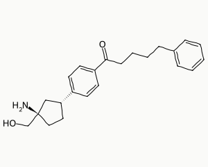 N[C@]1(CO)CC[C@@H](c2ccc(C(=O)CCCCc3ccccc3)cc2)C1